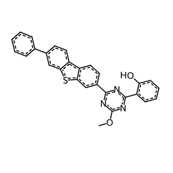 COc1nc(-c2ccc3c(c2)sc2cc(-c4ccccc4)ccc23)nc(-c2ccccc2O)n1